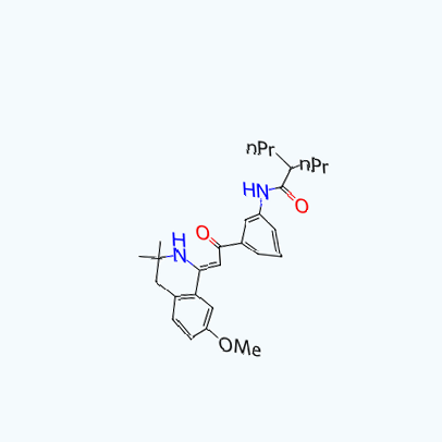 CCCC(CCC)C(=O)Nc1cccc(C(=O)/C=C2\NC(C)(C)Cc3ccc(OC)cc32)c1